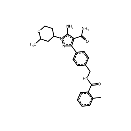 Cc1ccccc1C(=O)NCc1ccc(-c2nn(C3CCOC(C(F)(F)F)C3)c(N)c2C(N)=O)cc1